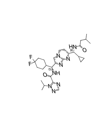 CC(C)CC(=O)N[C@@H](c1ccn2cc([C@@H](NC(=O)c3ncnn3C(C)C)C3CCC(F)(F)CC3)nc2n1)C1CC1